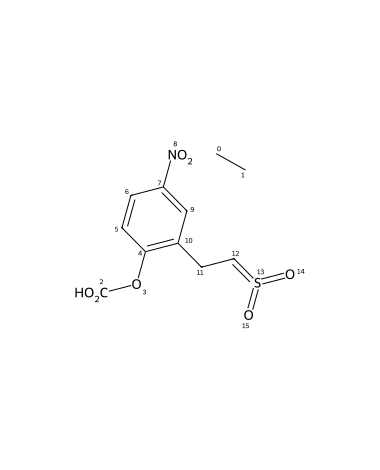 CC.O=C(O)Oc1ccc([N+](=O)[O-])cc1CC=S(=O)=O